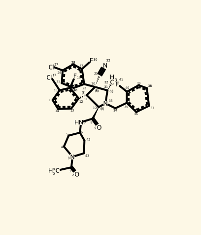 CC(=O)N1CCC(NC(=O)[C@H]2[C@H](c3cccc(Cl)c3F)[C@@](C#N)(c3ccc(Cl)cc3F)[C@H](C)N2Cc2ccccc2F)CC1